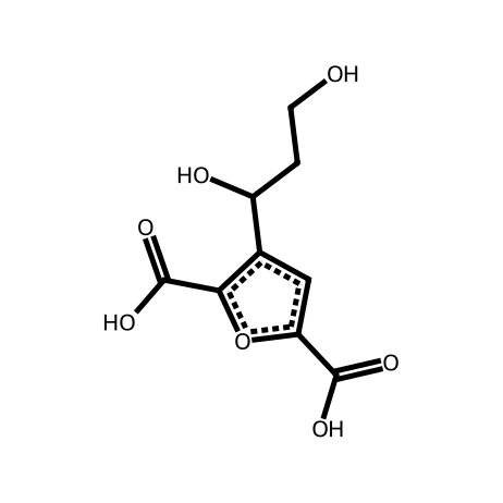 O=C(O)c1cc(C(O)CCO)c(C(=O)O)o1